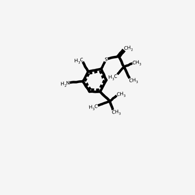 C=C(Sc1cc(C(C)(C)C)cc(N)c1C)C(C)(C)C